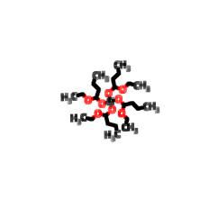 CCCC(OCC)O[Si](OC(CCC)OCC)(OC(CCC)OCC)OC(CCC)OCC